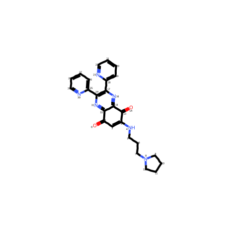 O=C1C=C(NCCCN2CCCC2)C(=O)c2nc(-c3ccccn3)c(-c3ccccn3)nc21